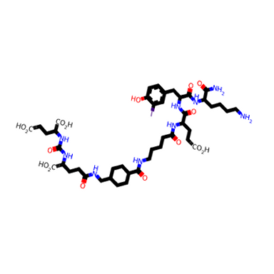 NCCCCC(NC(=O)C(Cc1ccc(O)c(I)c1)NC(=O)C(CCC(=O)O)NC(=O)CCCCNC(=O)C1CCC(CNC(=O)CCC(NC(=O)NC(CCC(=O)O)C(=O)O)C(=O)O)CC1)C(N)=O